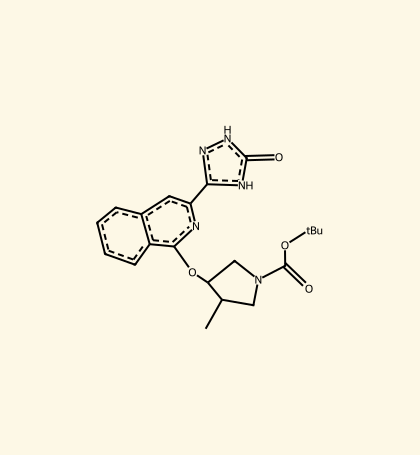 CC1CN(C(=O)OC(C)(C)C)CC1Oc1nc(-c2n[nH]c(=O)[nH]2)cc2ccccc12